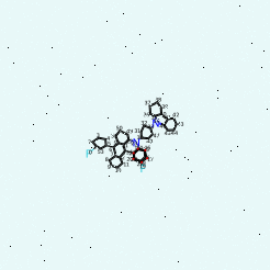 Fc1cccc(-c2c3ccccc3c(-c3cccc(F)c3)c3c(N(c4ccccc4)c4ccc(-n5c6ccccc6c6ccccc65)cc4)cccc23)c1